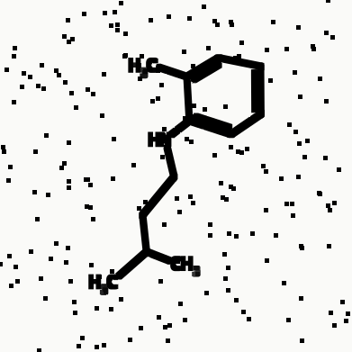 Cc1ccccc1NCCC(C)C